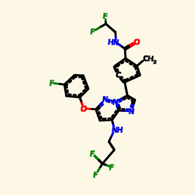 Cc1cc(-c2cnc3c(NCCC(F)(F)F)cc(Oc4cccc(F)c4)nn23)ccc1C(=O)NCC(F)F